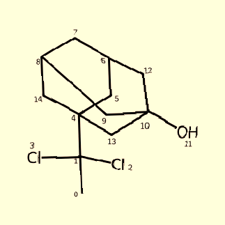 CC(Cl)(Cl)C12CC3CC(CC(O)(C3)C1)C2